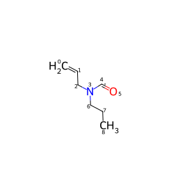 C=CCN([C]=O)CCC